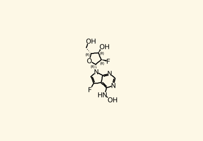 OC[C@H]1O[C@@H](n2cc(F)c3c(NO)ncnc32)[C@H](F)[C@@H]1O